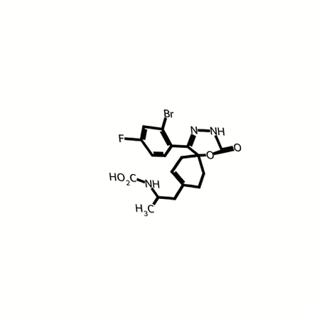 CC(CC1=CCC2(CC1)OC(=O)NN=C2c1ccc(F)cc1Br)NC(=O)O